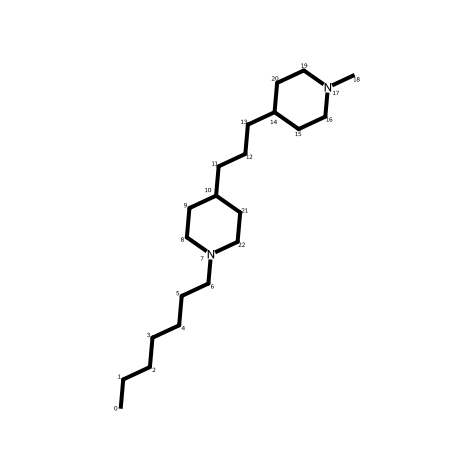 CCCCCCCN1CCC(CCCC2CCN(C)CC2)CC1